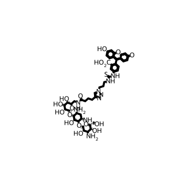 NC1C(O)[C@H](OC2[C@H](N)CC(N)[C@@H](O[C@H]3OC(CNC(=O)CCCc4cn(CCCNC(=S)Nc5ccc(-c6c7ccc(=O)cc-7oc7cc(O)ccc67)c(C(=O)O)c5)nn4)[C@@H](O)[C@H](O)C3O)[C@@H]2O)O[C@H](CO)[C@@H]1O